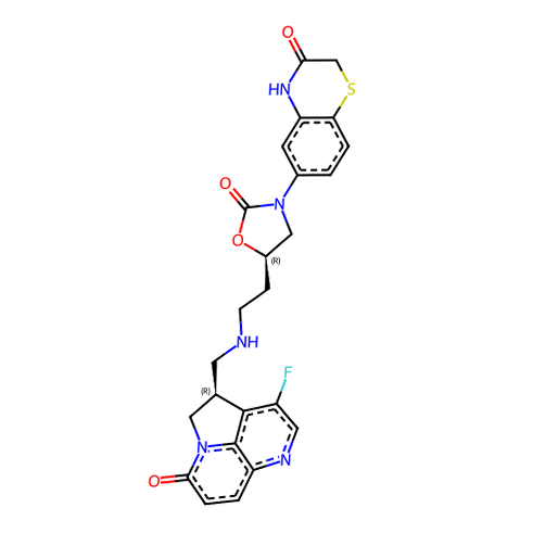 O=C1CSc2ccc(N3C[C@@H](CCNC[C@@H]4Cn5c(=O)ccc6ncc(F)c4c65)OC3=O)cc2N1